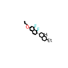 C=CCOc1cc(F)c2c(F)c([C@@H]3CC[C@@H]4CC(CC)CCC4C3)ccc2c1